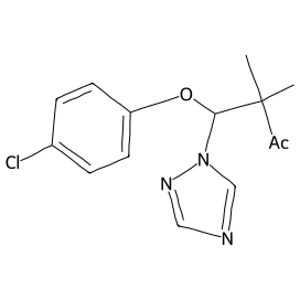 CC(=O)C(C)(C)C(Oc1ccc(Cl)cc1)n1cncn1